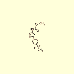 CC1CC1C(=O)Nc1cc(-c2ccc(C(C)(F)F)cc2)ns1